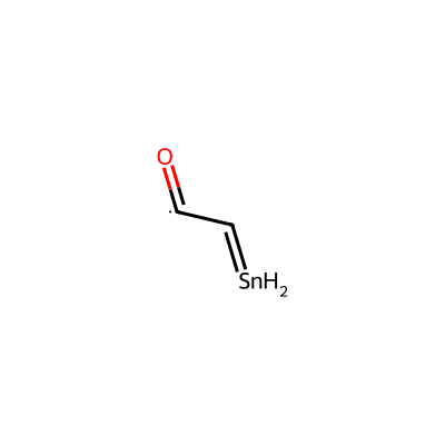 O=[C][CH]=[SnH2]